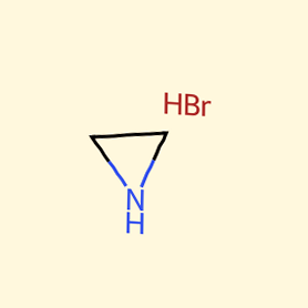 Br.C1CN1